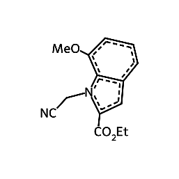 CCOC(=O)c1cc2cccc(OC)c2n1CC#N